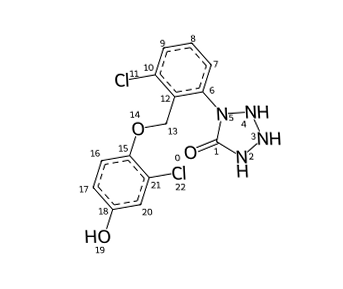 O=C1NNNN1c1cccc(Cl)c1COc1ccc(O)cc1Cl